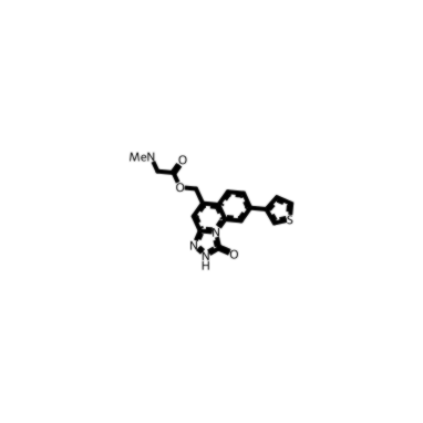 CNCC(=O)OCc1cc2n[nH]c(=O)n2c2cc(-c3ccsc3)ccc12